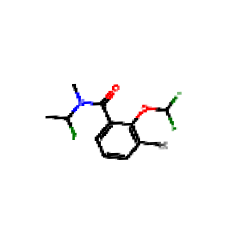 CCc1cccc(C(=O)N(C)C(C)F)c1OC(F)F